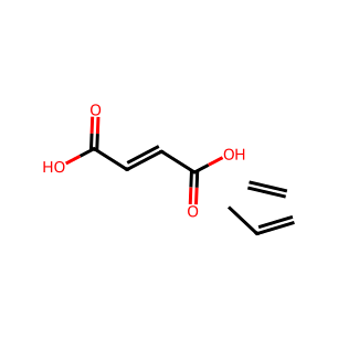 C=C.C=CC.O=C(O)C=CC(=O)O